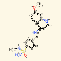 CN=S(N)(=O)c1ccc(CNc2ccnc3cc(OC)ccc23)cc1